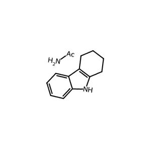 CC(N)=O.c1ccc2c3c([nH]c2c1)CCCC3